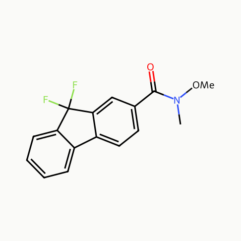 CON(C)C(=O)c1ccc2c(c1)C(F)(F)c1ccccc1-2